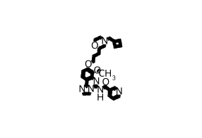 COc1c(OCCCC2CN(CC3CCC3)CCO2)ccc2c1N=C(NC(=O)c1cccnc1)N1CCN=C21